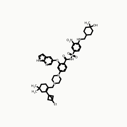 CCC12CC(C3=C(CN4CCN(c5ccc(C(=O)NS(=O)(=O)c6ccc(NCC7CCC(C)(O)CC7)c([N+](=O)[O-])c6)c(Oc6cnc7[nH]ccc7c6)c5)CC4)CCC(C)(C)C3)(C1)C2